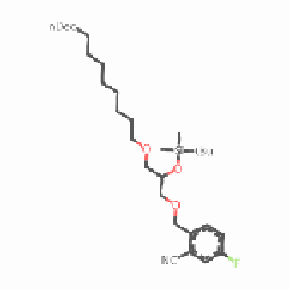 CCCCCCCCCCCCCCCCCCOCC(COCc1ccc(F)cc1C#N)O[Si](C)(C)C(C)(C)C